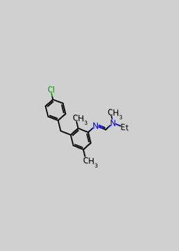 CCN(C)C=Nc1cc(C)cc(Cc2ccc(Cl)cc2)c1C